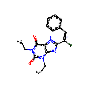 CCn1c(=O)c2[nH]c(/C(F)=C\c3ccccc3)nc2n(CC)c1=O